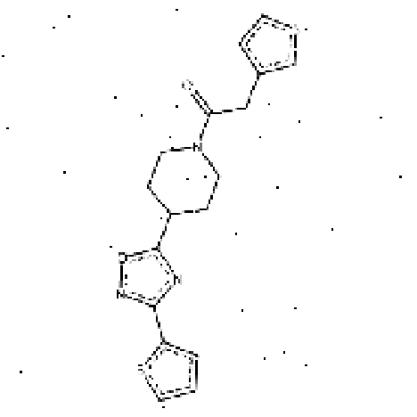 O=C(Cc1ccsc1)N1CCC(c2nc(-c3cccs3)no2)CC1